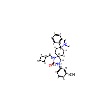 CN(C)[C@]1(c2ccccc2)CC[C@@]2(CC1)CN(c1cccc(C#N)c1)C(=O)N2CC1CCC1